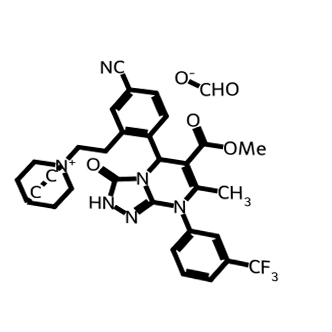 COC(=O)C1=C(C)N(c2cccc(C(F)(F)F)c2)c2n[nH]c(=O)n2C1c1ccc(C#N)cc1CC[N+]12CCC(CC1)CC2.O=C[O-]